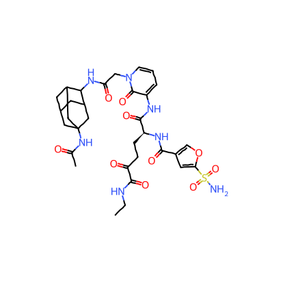 CCNC(=O)C(=O)CC[C@H](NC(=O)c1coc(S(N)(=O)=O)c1)C(=O)Nc1cccn(CC(=O)NC2C3CC4CC2CC(NC(C)=O)(C4)C3)c1=O